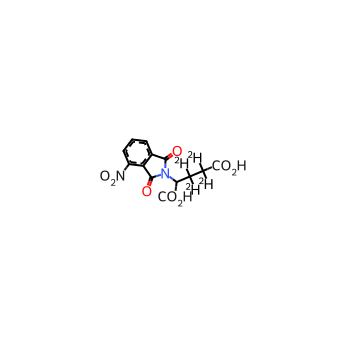 [2H]C([2H])(C(=O)O)C([2H])([2H])C(C(=O)O)N1C(=O)c2cccc([N+](=O)[O-])c2C1=O